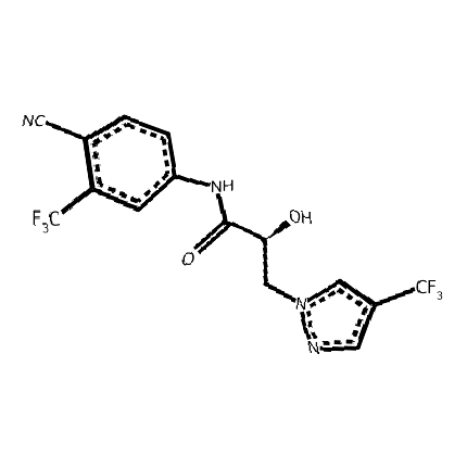 N#Cc1ccc(NC(=O)[C@@H](O)Cn2cc(C(F)(F)F)cn2)cc1C(F)(F)F